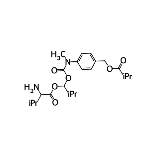 CC(C)C(=O)OCc1ccc(N(C)C(=O)OC(OC(=O)C(N)C(C)C)C(C)C)cc1